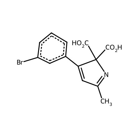 CC1=NC(C(=O)O)(C(=O)O)C(c2cccc(Br)c2)=C1